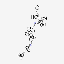 COc1cc(/C=C/COC(=O)CCCO[N+](=O)[O-])ccc1OC(=O)C(C)NC(=O)CCC/C=C\C[C@@H]1[C@@H](CC[C@@H](O)CCc2ccccc2)[C@H](O)C[C@@H]1O